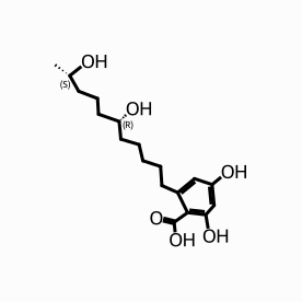 C[C@H](O)CCC[C@H](O)CCCCCc1cc(O)cc(O)c1C(=O)O